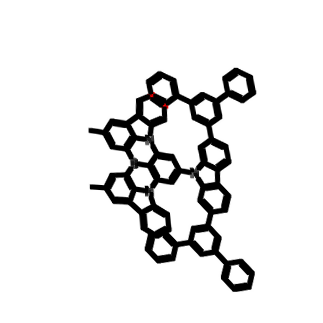 Cc1cc2c3c(c1)c1ccccc1n3-c1cc(-n3c4cc(-c5cc(-c6ccccc6)cc(-c6ccccc6)c5)ccc4c4ccc(-c5cc(-c6ccccc6)cc(-c6ccccc6)c5)cc43)cc3c1B2c1cc(C)cc2c4ccccc4n-3c12